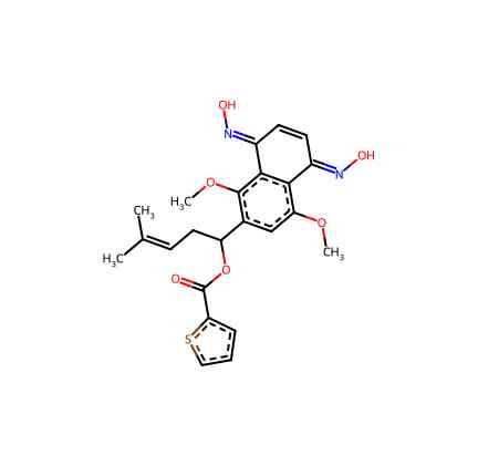 COc1cc(C(CC=C(C)C)OC(=O)c2cccs2)c(OC)c2c1C(=NO)C=CC2=NO